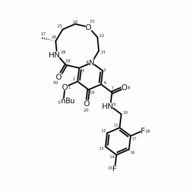 CCCCOc1c2n(cc(C(=O)NCc3ccc(F)cc3F)c1=O)CCOCC[C@@H](C)NC2=O